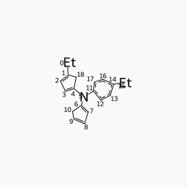 CCC1=CC=C(N(C2=CC=CC2)c2ccc(CC)cc2)C1